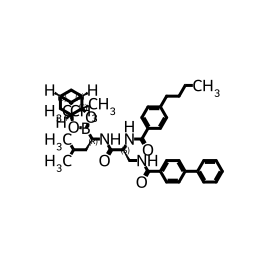 CCCCc1ccc(C(=O)N[C@@H](CNC(=O)c2ccc(-c3ccccc3)cc2)C(=O)N[C@@H](CC(C)C)B2O[C@@H]3C[C@@H]4C[C@@H](C4(C)C)[C@]3(C)O2)cc1